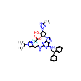 Cc1nnn([C@H]2C[C@@H](n3cnc4c(NCC(c5ccccc5)c5ccccc5)nc(NCCc5cn(C(C)C)cn5)nc43)[C@H](OC(=O)C(F)(F)F)[C@@H]2O)n1